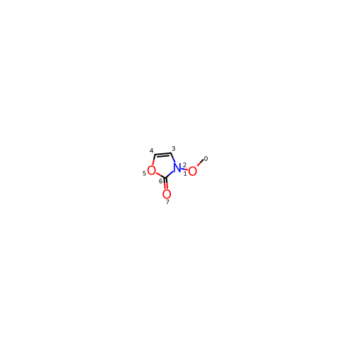 COn1ccoc1=O